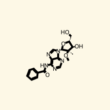 CO[C@]1(C)[C@H](O)[C@@H](CO)O[C@H]1n1cnc2c(NC(=O)c3ccccc3)ncnc21